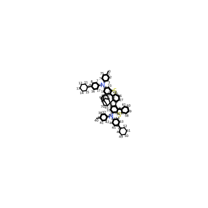 Cc1ccc(N(c2ccc(C3CCCCC3)cc2)c2ccc3c(c2)sc2ccc4c(c23)C2(c3cc(N(c5ccc(C)cc5)c5ccc(C6CCCCC6)cc5)c5sc6ccccc6c5c3-4)C3CC4CC(C3)CC2C4)cc1